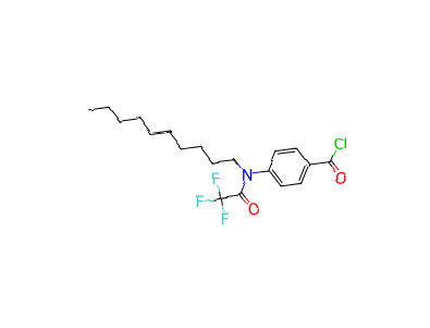 CCCCCCCCCCN(C(=O)C(F)(F)F)c1ccc(C(=O)Cl)cc1